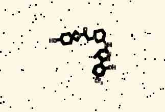 Cc1cc(N[C@@H]2CCCN(CC(=O)N3CC4(CCC(O)CC4)C3)C2)nnc1-c1ccc(C(F)(F)F)cc1O